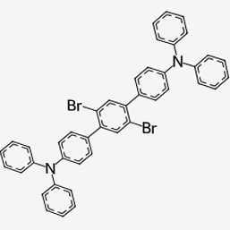 Brc1cc(-c2ccc(N(c3ccccc3)c3ccccc3)cc2)c(Br)cc1-c1ccc(N(c2ccccc2)c2ccccc2)cc1